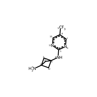 NC12CC(Nc3ncc(C(F)(F)F)cn3)(C1)C2